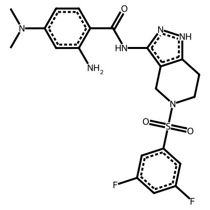 CN(C)c1ccc(C(=O)Nc2n[nH]c3c2CN(S(=O)(=O)c2cc(F)cc(F)c2)CC3)c(N)c1